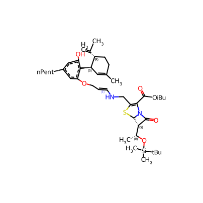 C=C(C)[C@@H]1CCC(C)=C[C@H]1c1c(O)cc(CCCCC)cc1OC/C=C/NCC1=C(C(=O)OCC(C)C)N2C(=O)[C@H]([C@@H](C)O[Si](C)(C)C(C)(C)C)C2S1